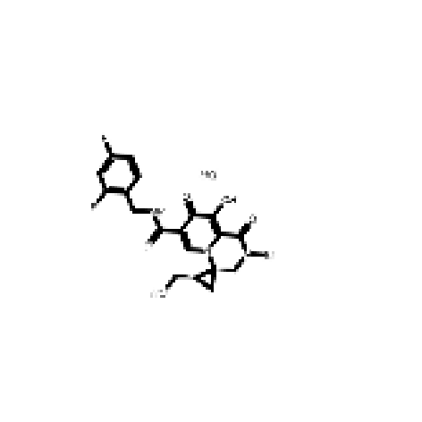 CCN1C[C@]2(C[C@H]2CO)n2cc(C(=O)NCc3ccc(F)cc3F)c(=O)c(O)c2C1=O.Cl